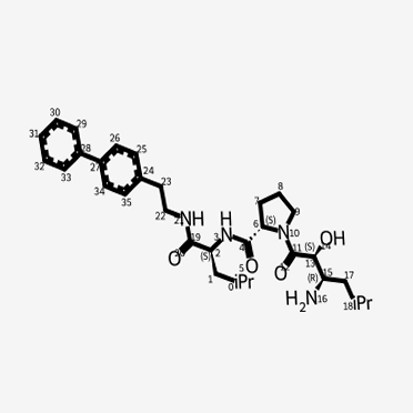 CC(C)C[C@H](NC(=O)[C@@H]1CCCN1C(=O)[C@@H](O)[C@H](N)CC(C)C)C(=O)NCCc1ccc(-c2ccccc2)cc1